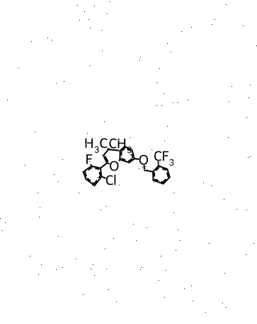 CC1(C)C=C(c2c(F)cccc2Cl)Oc2cc(OCc3ccccc3C(F)(F)F)ccc21